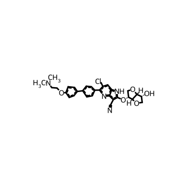 CN(C)CCOc1ccc(-c2ccc(-c3nc4c(C#N)c(O[C@@H]5CO[C@H]6[C@@H]5OC[C@H]6O)[nH]c4cc3Cl)cc2)cc1